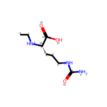 CCN[C@@H](CCCNC(N)=O)C(=O)O